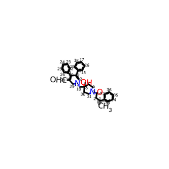 C[C@H](CC(=O)N1CCC(O)(CN2C=C(c3ccccc3)C(c3ccccc3)=C(C=O)C2)CC1)c1ccccc1